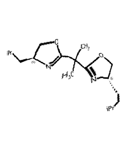 CC(C)C[C@H]1COC(C(C)(C)C2=N[C@@H](CC(C)C)CO2)=N1